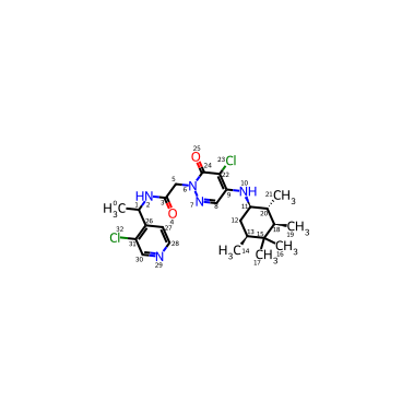 CC(NC(=O)Cn1ncc(N[C@@H]2C[C@H](C)C(C)(C)[C@H](C)[C@H]2C)c(Cl)c1=O)c1ccncc1Cl